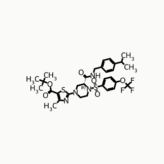 Cc1nc(N2CCN(S(=O)(=O)c3ccc(OC(F)(F)F)cc3)[C@@H](C(=O)NCc3ccc(C(C)C)cc3)C2)sc1C(=O)OC(C)(C)C